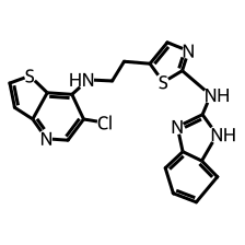 Clc1cnc2ccsc2c1NCCc1cnc(Nc2nc3ccccc3[nH]2)s1